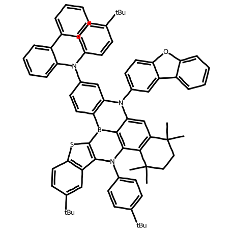 CC(C)(C)c1ccc(N(c2ccc3c(c2)N(c2ccc4oc5ccccc5c4c2)c2cc4c(c5c2B3c2sc3ccc(C(C)(C)C)cc3c2N5c2ccc(C(C)(C)C)cc2)C(C)(C)CCC4(C)C)c2ccccc2-c2ccccc2)cc1